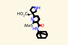 CSc1nc([C@@]2(CC(=O)O)CCNC2)ccc1C(=O)NC1C2CC3CC(C2)CC1C3